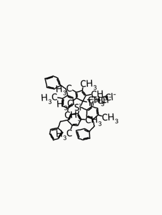 CC1=C(C)[C]([Ti+3])([Si](c2cc(Cc3ccccc3)c(C)cc2C)(c2cc(Cc3ccccc3)c(C)cc2C)c2cc(Cc3ccccc3)c(C)cc2C)C(C)=C1C.[Cl-].[Cl-].[Cl-]